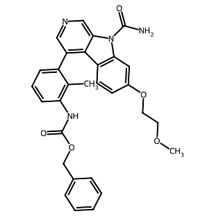 COCCOc1ccc2c3c(-c4cccc(NC(=O)OCc5ccccc5)c4C)cncc3n(C(N)=O)c2c1